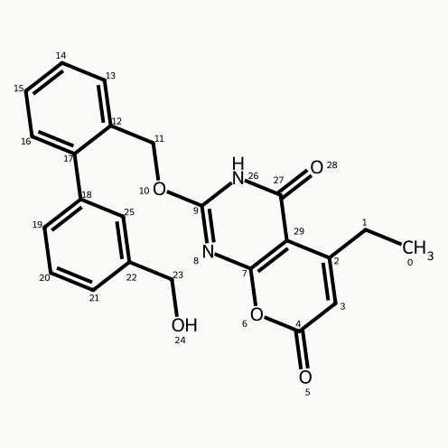 CCc1cc(=O)oc2nc(OCc3ccccc3-c3cccc(CO)c3)[nH]c(=O)c12